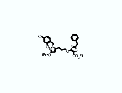 CCOC(=O)c1sc(Cc2ccccc2)nc1OCCCc1cc(OC(C)C)nn1Cc1ccc(Cl)cc1Cl